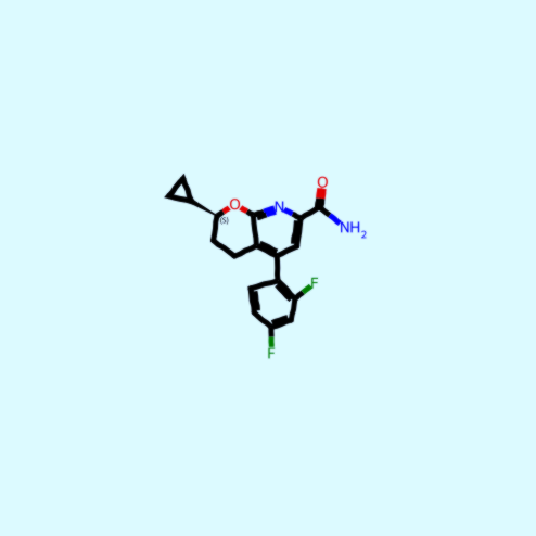 NC(=O)c1cc(-c2ccc(F)cc2F)c2c(n1)O[C@H](C1CC1)CC2